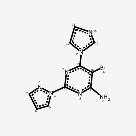 Nc1nc(-n2cccn2)nc(-n2ccnc2)c1Br